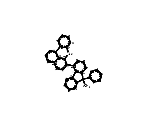 CC1(c2ccccc2)c2ccccc2-c2c(-c3ccc4cccc5c4c3Oc3ccccc3-5)cccc21